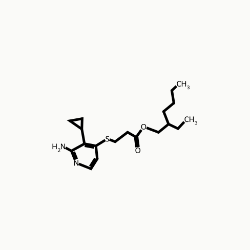 CCCCC(CC)COC(=O)CCSc1ccnc(N)c1C1CC1